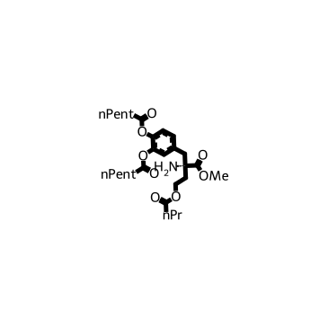 CCCCCC(=O)Oc1ccc(C[C@](N)(CCOC(=O)CCC)C(=O)OC)cc1OC(=O)CCCCC